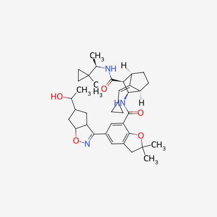 CC(O)C1CC2ON=C(c3cc4c(c(C(=O)N[C@H]5[C@@H](C(=O)N[C@H](C)C6(C)CC6)[C@H]6CC[C@@H]5/C6=C\C5CC5)c3)OC(C)(C)C4)C2C1